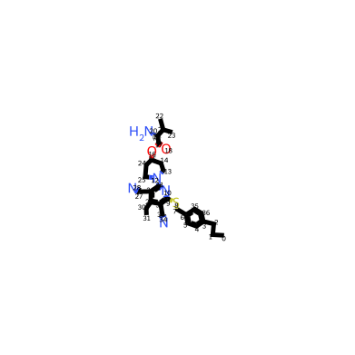 CCCc1ccc(CSc2nc(N3CCC(OC(=O)[C@@H](N)C(C)C)CC3)c(C#N)c(CC)c2C#N)cc1